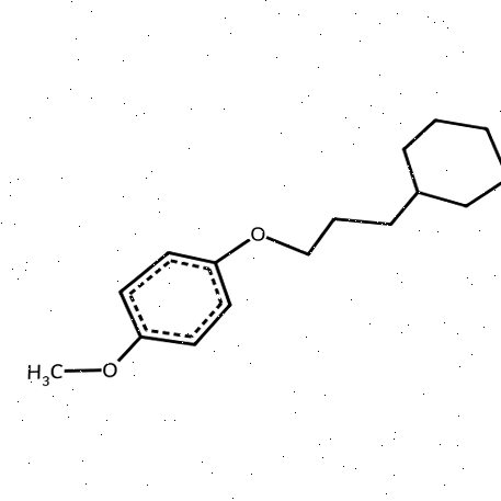 COc1ccc(OCCCC2CCCCC2)cc1